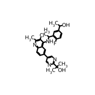 Cc1nc2ccc(-c3cnc(C(C)(C)O)nc3)cc2c(NC(C)c2cc(C(C)O)ccc2F)c1Cl